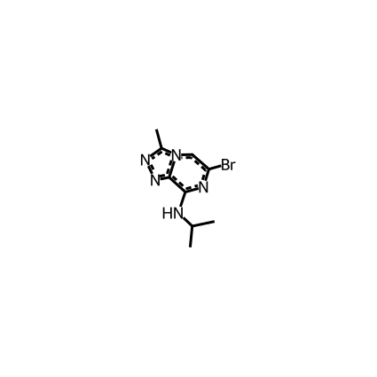 Cc1nnc2c(NC(C)C)nc(Br)cn12